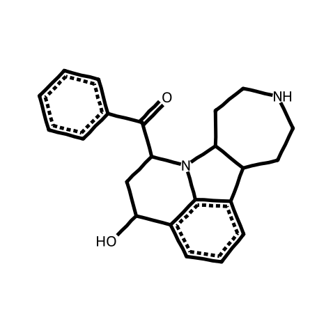 O=C(c1ccccc1)C1CC(O)c2cccc3c2N1C1CCNCCC31